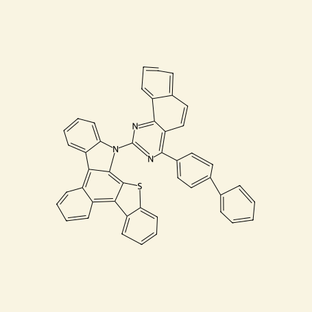 c1ccc(-c2ccc(-c3nc(-n4c5ccccc5c5c6ccccc6c6c7ccccc7sc6c54)nc4c3ccc3ccccc34)cc2)cc1